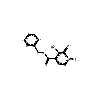 Cn1ccc(C(=O)OCc2ccccc2)c(O)c1=O